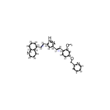 COc1cc(OCc2ccccn2)ccc1/C=C/c1cc(/C=C/c2cccc3ncccc23)[nH]n1